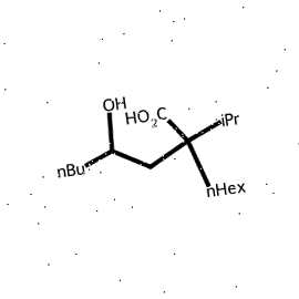 CCCCCCC(CC(O)CCCC)(C(=O)O)C(C)C